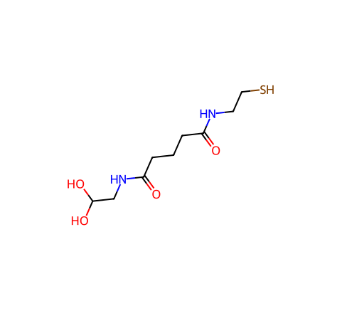 O=C(CCCC(=O)NCC(O)O)NCCS